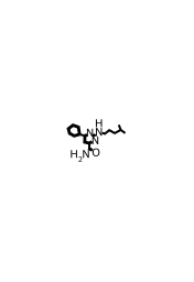 CC(C)CCCNc1nc(C(N)=O)cc(-c2ccccc2)n1